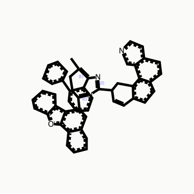 C\C1=C(c2ccccc2-c2ccccc2)/N=C(C2C=Cc3ccc4ccc5ccncc5c4c3C2)\N=C(\c2cc3ccccc3c3oc4ccccc4c23)CC1